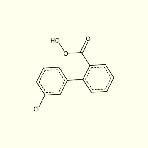 O=C(OO)c1ccccc1-c1cccc(Cl)c1